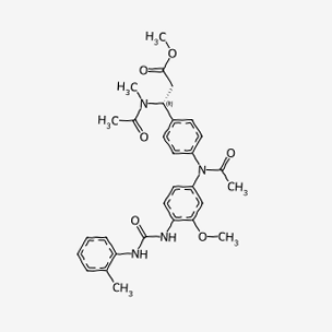 COC(=O)C[C@H](c1ccc(N(C(C)=O)c2ccc(NC(=O)Nc3ccccc3C)c(OC)c2)cc1)N(C)C(C)=O